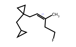 C/C(=C/CC1(CC2CC2)CC1)CCF